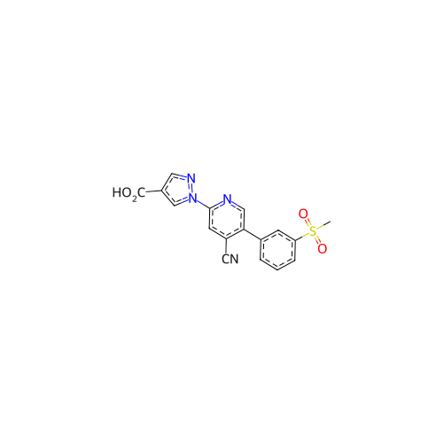 CS(=O)(=O)c1cccc(-c2cnc(-n3cc(C(=O)O)cn3)cc2C#N)c1